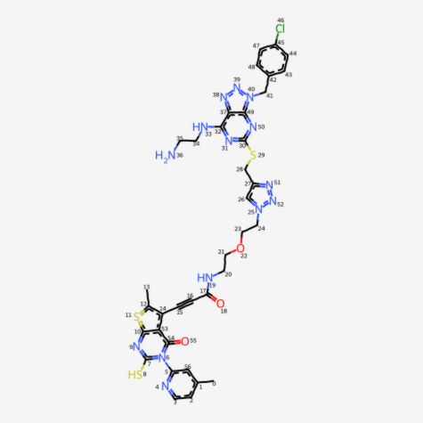 Cc1ccnc(-n2c(S)nc3sc(C)c(C#CC(=O)NCCOCCn4cc(CSc5nc(NCCN)c6nnn(Cc7ccc(Cl)cc7)c6n5)nn4)c3c2=O)c1